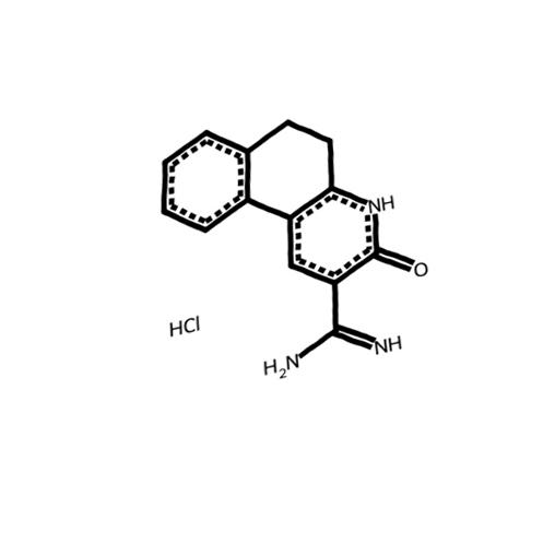 Cl.N=C(N)c1cc2c([nH]c1=O)CCc1ccccc1-2